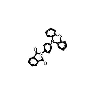 O=C1c2ccccc2C(=O)N1c1ccc(N2c3ccccc3Sc3ccccc32)cc1